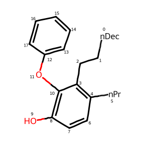 CCCCCCCCCCCCc1c(CCC)ccc(O)c1Oc1ccccc1